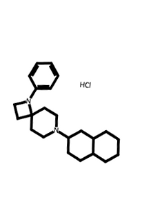 Cl.c1ccc(N2CCC23CCN(C2CCC4CCCCC4C2)CC3)cc1